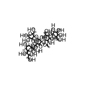 CC(=O)NC1[C@H](O[C@@H]2C(O)[C@H](O[C@@H]3C(CO)OC(O)C(O)[C@H]3O)OC(CO[C@]3(C(=O)O)C[C@@H](O)[C@@H](C)[C@H]([C@H](O)[C@H](O)CO)O3)[C@@H]2O)OC(CO)[C@@H](O[C@@H]2OC(CO)[C@H](O)[C@H](O)C2O)[C@@H]1O